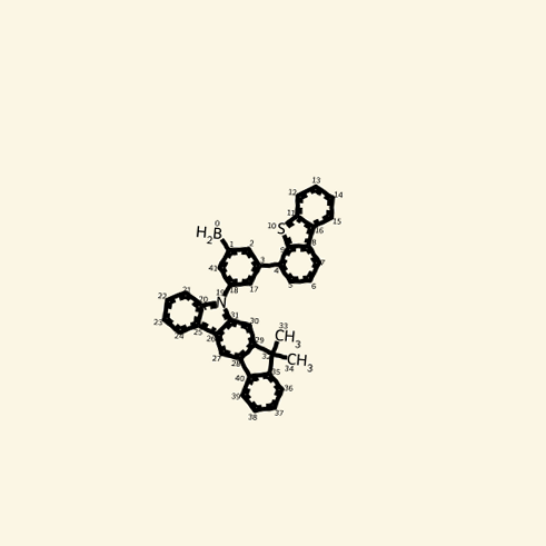 Bc1cc(-c2cccc3c2sc2ccccc23)cc(-n2c3ccccc3c3cc4c(cc32)C(C)(C)c2ccccc2-4)c1